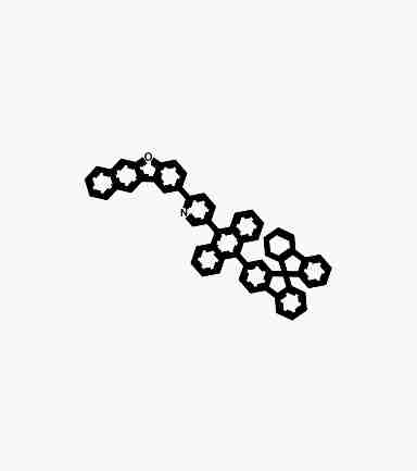 C1=CC2=C(CC1)C1(c3ccccc32)c2ccccc2-c2ccc(-c3c4ccccc4c(-c4ccc(-c5ccc6oc7cc8ccccc8cc7c6c5)nc4)c4ccccc34)cc21